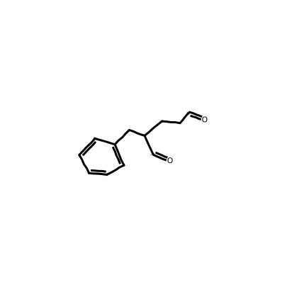 O=[C]CCC([C]=O)Cc1ccccc1